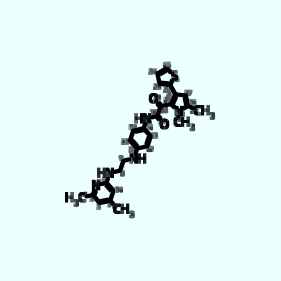 Cc1cc(C)nc(NCCNc2ccc(NC(=O)C(=O)c3c(-c4cccs4)cc(C)n3C)cc2)c1